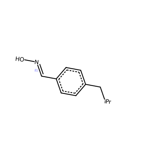 CC(C)Cc1ccc(/C=N/O)cc1